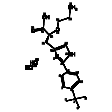 CC(C)(C)c1ccc(-c2nc(C[C@H](OCCN)C(=O)O)c[nH]2)cc1.Cl.Cl